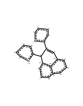 C1=C(c2ccccn2)C(c2ccccn2)c2cccc3cccc1c23